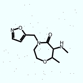 CNC1C(=O)N(Cc2ccno2)CCOC1C